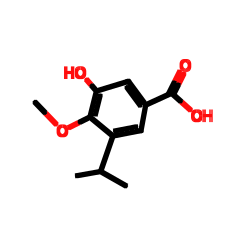 COc1c(O)cc(C(=O)O)cc1C(C)C